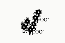 CCc1ccc2c(c1C(=O)[O-])Cc1ccccc1O2.CCc1ccc2c(c1C(=O)[O-])Cc1ccccc1O2.CCc1ccc2c(c1C(=O)[O-])Cc1ccccc1O2.[Ga+3]